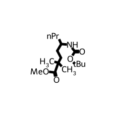 CCCC(CCC(C)(C)C(=O)OC)NC(=O)OC(C)(C)C